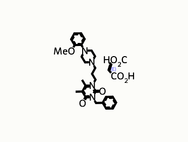 COc1ccccc1N1CCN(CCCn2c(C)c(C)c(=O)n(Cc3ccccc3)c2=O)CC1.O=C(O)/C=C/C(=O)O